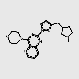 c1cnc2c(N3CCOCC3)nc(-n3ccc(CC4CCNC4)n3)nc2c1